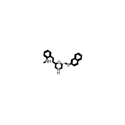 CNc1ccccc1CCC1CNC[C@@H](CSc2ccc3ccccc3c2)O1